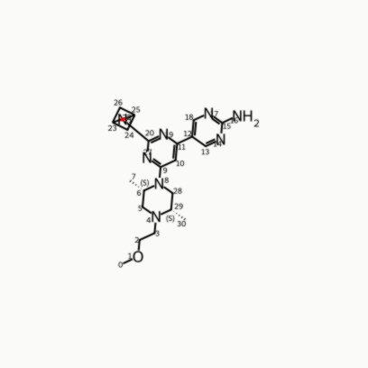 COCCN1C[C@H](C)N(c2cc(-c3cnc(N)nc3)nc(N3CC4CC3C4)n2)C[C@@H]1C